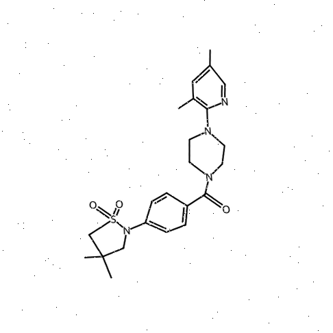 Cc1cnc(N2CCN(C(=O)c3ccc(N4CC(C)(C)CS4(=O)=O)cc3)CC2)c(C)c1